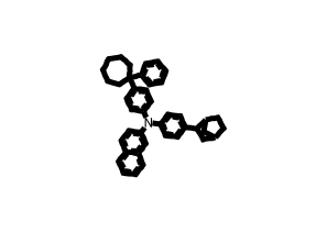 c1ccc(C2(c3ccc(N(c4ccc(C5CC6CCC5C6)cc4)c4ccc5ccccc5c4)cc3)CCCCCC2)cc1